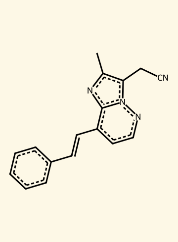 Cc1nc2c(C=Cc3ccccc3)ccnn2c1CC#N